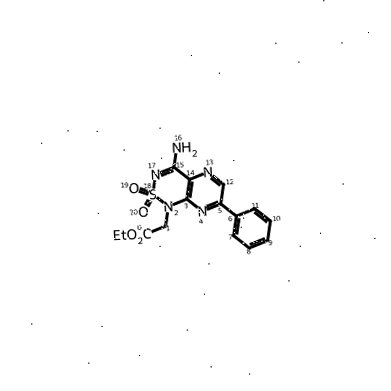 CCOC(=O)CN1c2nc(-c3ccccc3)cnc2C(N)=NS1(=O)=O